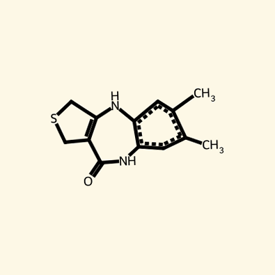 Cc1cc2c(cc1C)NC1=C(CSC1)C(=O)N2